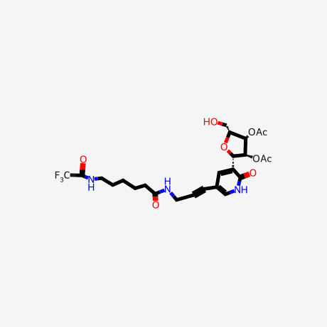 CC(=O)O[C@@H]1[C@H](OC(C)=O)[C@@H](CO)O[C@H]1c1cc(C#CCNC(=O)CCCCCNC(=O)C(F)(F)F)c[nH]c1=O